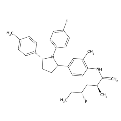 C=C(Nc1ccc(C2CC[C@H](c3ccc(C)cc3)N2c2ccc(F)cc2)cc1C)[C@@H](C)C[C@H](F)CC